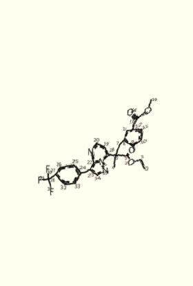 CCOC(=O)C(C)(Cc1cccc(C(=O)OC)c1)c1ccnc2c(-c3ccc(C(F)(F)F)cc3)cnn12